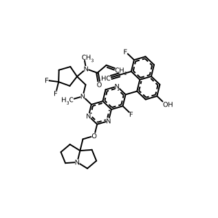 C#Cc1c(F)ccc2cc(O)cc(-c3ncc4c(N(C)CC5(N(C)C(=O)C=C)CCC(F)(F)C5)nc(OCC56CCCN5CCC6)nc4c3F)c12